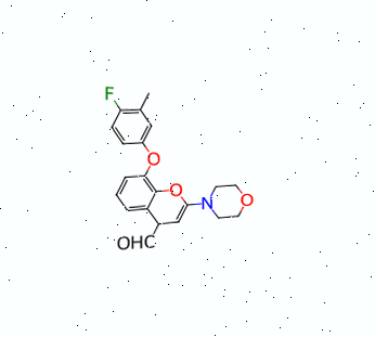 Cc1cc(Oc2cccc3c2OC(N2CCOCC2)=CC3C=O)ccc1F